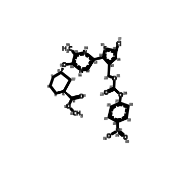 COC(=O)[C@H]1CCC[C@H](Oc2ncc(-c3sc(Cl)cc3COC(=O)Oc3ccc([N+](=O)[O-])cc3)nc2C)C1